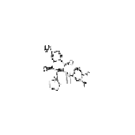 Nc1ccc2c(c1)C(=O)C(N1CCCC1)=C(Nc1ccc(F)c(F)c1)C2=O